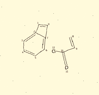 C1=Cc2ccccc21.C=CC(=O)Cl